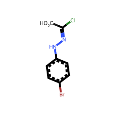 O=C(O)/C(Cl)=N\Nc1ccc(Br)cc1